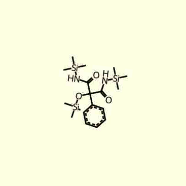 C[Si](C)(C)NC(=O)C(O[Si](C)(C)C)(C(=O)N[Si](C)(C)C)c1ccccc1